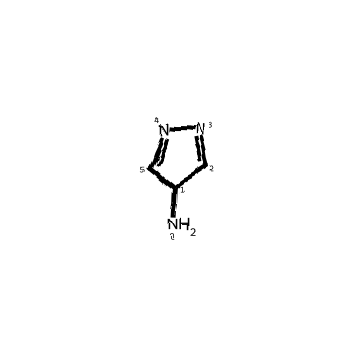 NC1C=NN=C1